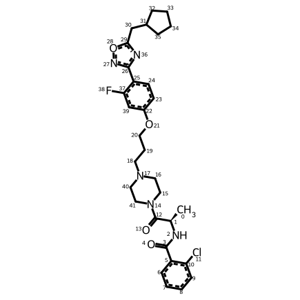 C[C@@H](NC(=O)c1ccccc1Cl)C(=O)N1CCN(CCCOc2ccc(-c3noc(CC4CCCC4)n3)c(F)c2)CC1